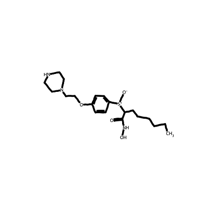 CCCCCCC(C(=O)NO)[S+]([O-])c1ccc(OCCN2CCNCC2)cc1